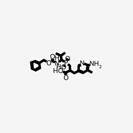 Cc1cc(CC(CP(=O)(O)C(NC(=O)OCc2ccccc2)C(C)C)C(=O)O)cnc1N